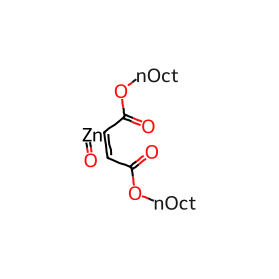 CCCCCCCCOC(=O)/C=C\C(=O)OCCCCCCCC.[O]=[Zn]